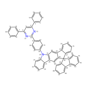 c1ccc(-c2cc(-c3ccccc3)nc(-c3ccc(-n4c5ccccc5c5cc6c(cc54)-c4ccccc4C64c5ccccc5-c5ccccc54)cc3)n2)cc1